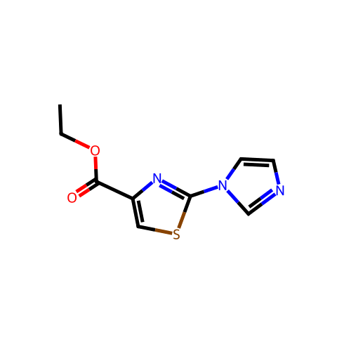 CCOC(=O)c1csc(-n2ccnc2)n1